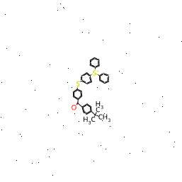 CC(C)(C)c1ccc(C(=O)c2ccc(Sc3ccc([S+](c4ccccc4)c4ccccc4)cc3)cc2)cc1